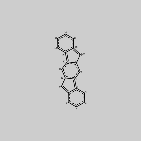 C1=c2ccccc2=c2cc3c(cc21)=c1ccccc1=N3